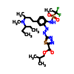 CCC(CC)N(C)C(C)CCc1c#cc(NS(=O)(=O)C(C)(F)F)c(N=Nc2nnc(C(=O)OCC(C)C)s2)c1